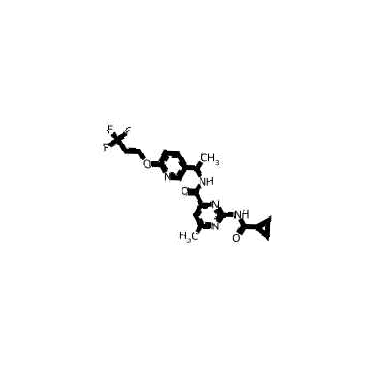 Cc1cc(C(=O)NC(C)c2ccc(OCCC(F)(F)F)nc2)nc(NC(=O)C2CC2)n1